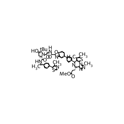 COC(=O)CC[C@@H]1N=C(c2ccc(-c3ccc4oc(C(=O)N[C@H](C(=O)N5C[C@H](O)C[C@H]5C(=O)N[C@@H](C)c5ccc(-c6scnc6C)cc5)C(C)(C)C)nc4c3)cc2)c2c(sc(C)c2C)-n2c(C)nnc21